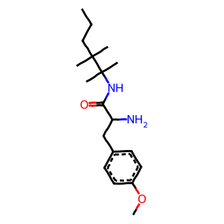 CCCC(C)(C)C(C)(C)NC(=O)C(N)Cc1ccc(OC)cc1